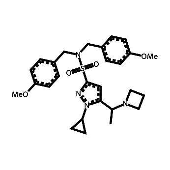 COc1ccc(CN(Cc2ccc(OC)cc2)S(=O)(=O)c2cc(C(C)N3CCC3)n(C3CC3)n2)cc1